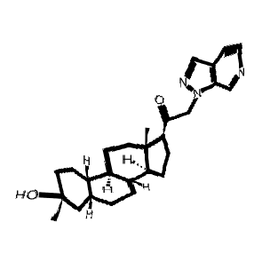 C[C@@]1(O)CC[C@H]2[C@H](CC[C@@H]3[C@@H]2CC[C@]2(C)[C@@H](C(=O)Cn4ncc5ccncc54)CC[C@@H]32)C1